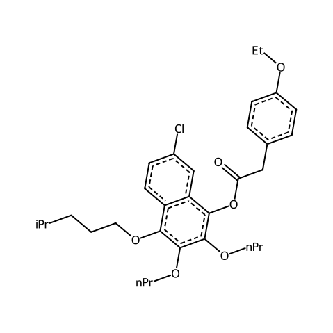 CCCOc1c(OCCC)c(OC(=O)Cc2ccc(OCC)cc2)c2cc(Cl)ccc2c1OCCCC(C)C